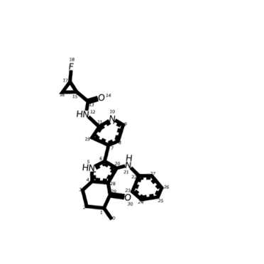 CC1CCc2[nH]c(-c3ccnc(NC(=O)C4CC4F)c3)c(Nc3ccccc3)c2C1=O